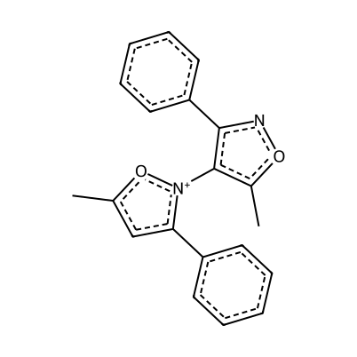 Cc1cc(-c2ccccc2)[n+](-c2c(-c3ccccc3)noc2C)o1